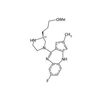 COCCC[C@H]1CN(C2=Nc3cc(F)ccc3Nc3sc(C)cc32)CCN1